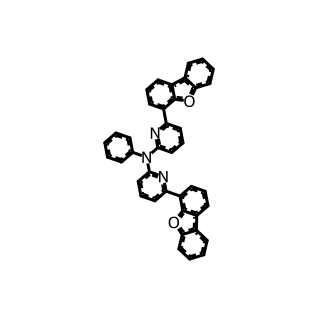 c1ccc(N(c2cccc(-c3cccc4c3oc3ccccc34)n2)c2cccc(-c3cccc4c3oc3ccccc34)n2)cc1